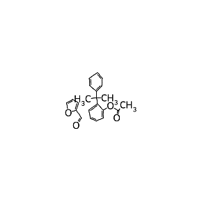 CC(=O)Oc1ccccc1C(C)(C)c1ccccc1.O=Cc1ccco1